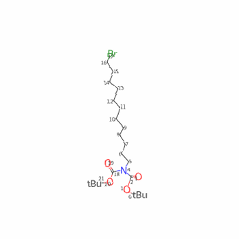 CC(C)(C)OC(=O)N(CCCCCCCCCCCCBr)C(=O)OC(C)(C)C